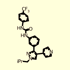 CC(C)Cn1cc(-c2ccncc2)c(-c2cccc(NC(=O)Nc3ccc(C(F)(F)F)cc3)c2)n1